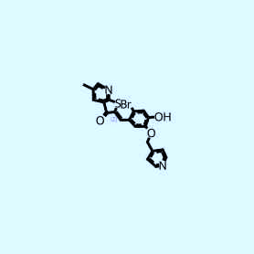 Cc1cnc2c(c1)C(=O)/C(=C/c1cc(OCc3ccncc3)c(O)cc1Br)S2